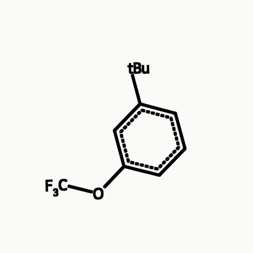 CC(C)(C)c1cccc(OC(F)(F)F)c1